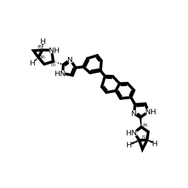 c1cc(-c2ccc3cc(-c4c[nH]c([C@H]5C[C@@H]6C[C@@H]6N5)n4)ccc3c2)cc(-c2c[nH]c([C@@H]3C[C@H]4C[C@H]4N3)n2)c1